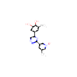 O=[N+]([O-])c1cc(-c2cnnc(-c3cc(C(F)(F)F)c[n+]([O-])c3)n2)cc(O)c1O